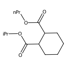 CCCOC(=O)C1CCCCC1C(=O)OC(C)C